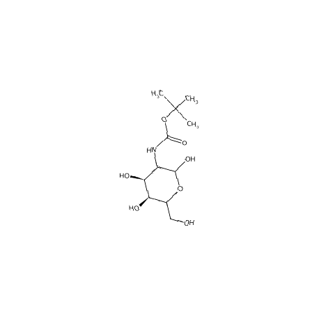 CC(C)(C)OC(=O)NC1C(O)OC(CO)[C@@H](O)[C@H]1O